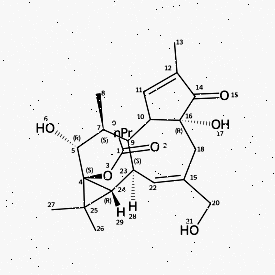 CCCC(=O)O[C@@]12[C@H](O)[C@@H](C)C3C4C=C(C)C(=O)[C@@]4(O)CC(CO)=C[C@H]3[C@@H]1C2(C)C